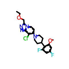 CCOCc1nnc2c(Cl)c(N3CCC(c4c(F)cc(F)cc4OC)CC3)ccn12